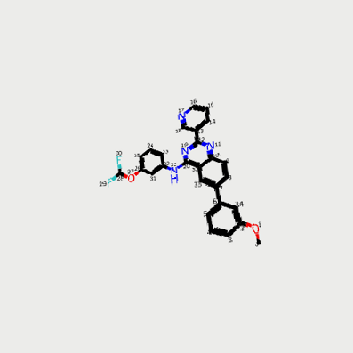 COc1cccc(-c2ccc3nc(-c4cccnc4)nc(Nc4cccc(OC(F)F)c4)c3c2)c1